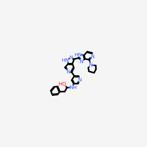 OC(Cc1ccccc1)Nc1cncc(-c2cc3c(-c4nc5c(N6CCCCC6)nccc5[nH]4)n[nH]c3cn2)c1